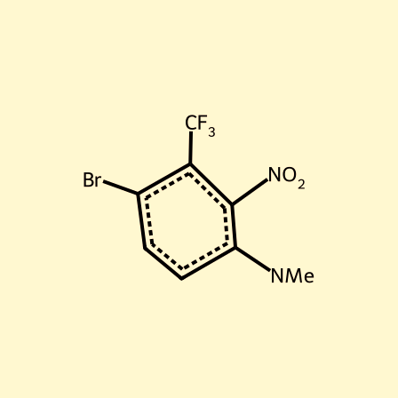 CNc1ccc(Br)c(C(F)(F)F)c1[N+](=O)[O-]